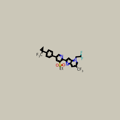 CCS(=O)(=O)c1cc(-c2ccc(C3(C(F)(F)F)CC3)cc2)cnc1-c1cc2n(CC(F)F)cc(C(F)(F)F)cc-2n1